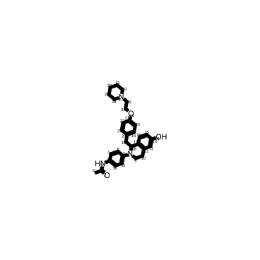 CC(=O)Nc1ccc(N2CCc3cc(O)ccc3C2Cc2ccc(OCCN3CCCCC3)cc2)cc1